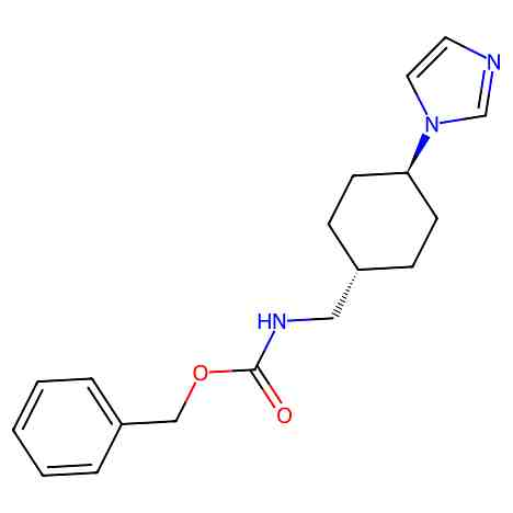 O=C(NC[C@H]1CC[C@H](n2ccnc2)CC1)OCc1ccccc1